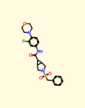 O=C(Nc1ccc(N2CCOCC2)c(F)c1)C1C2CN(S(=O)(=O)Cc3ccccc3)CC21